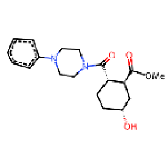 COC(=O)[C@H]1C[C@H](O)CC[C@@H]1C(=O)N1CCN(c2ccccc2)CC1